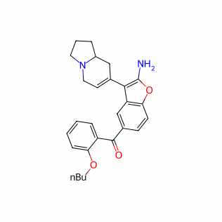 CCCCOc1ccccc1C(=O)c1ccc2oc(N)c(C3=CCN4CCCC4C3)c2c1